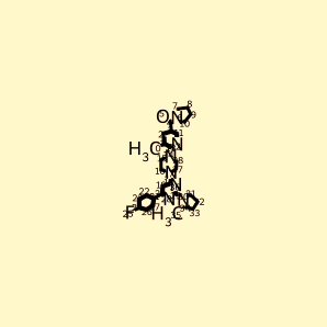 Cc1cc(C(=O)N2CCCC2)cnc1N1CCN(c2cc(-c3ccc(F)cc3)nc(N3CCCC3C)n2)CC1